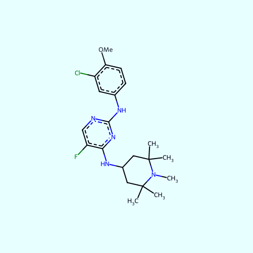 COc1ccc(Nc2ncc(F)c(NC3CC(C)(C)N(C)C(C)(C)C3)n2)cc1Cl